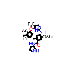 COc1cc(C(=O)NC2CCCNC2)c(C)cc1Nc1ncc(C(F)(F)F)c(Oc2cccc(CC(C)C)c2C(C)=O)n1